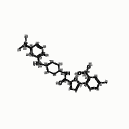 Cc1ccc(-c2ccc(C(=O)NC3CCC(Nc4nccc(N(C)C)n4)CC3)o2)c([N+](=O)[O-])c1